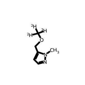 [2H]C([2H])([2H])OCc1ccnn1C